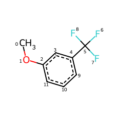 COc1[c]c(C(F)(F)F)ccc1